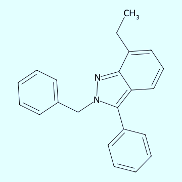 CCc1cccc2c(-c3ccccc3)n(Cc3ccccc3)nc12